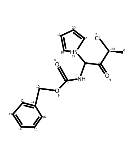 C[C@H](Cl)C(=O)C(NC(=O)OCc1ccccc1)[SH]1C=CC=C1